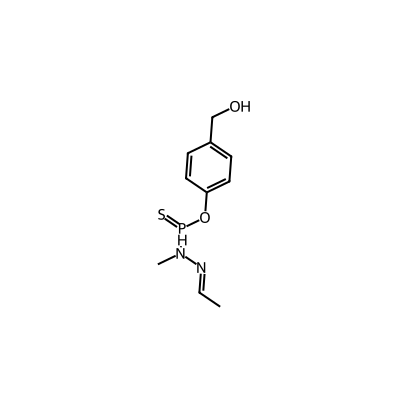 C/C=N/N(C)[PH](=S)Oc1ccc(CO)cc1